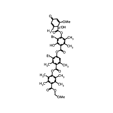 CCc1c(OC(=O)c2c(C)c(C)c(OC(=O)[C@@]3(O)C(C)=CC(=O)C=C3OC)c(Br)c2O)cc(C)c(C(=O)Oc2c(C)c(C)c(C(=O)OCOC)c(C)c2C)c1C